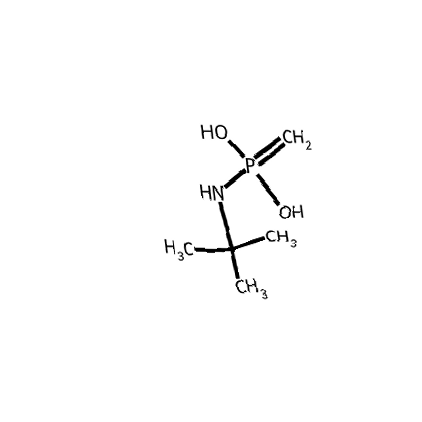 C=P(O)(O)NC(C)(C)C